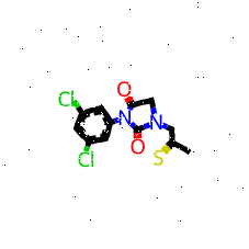 CC(=S)CN1CC(=O)N(c2cc(Cl)cc(Cl)c2)C1=O